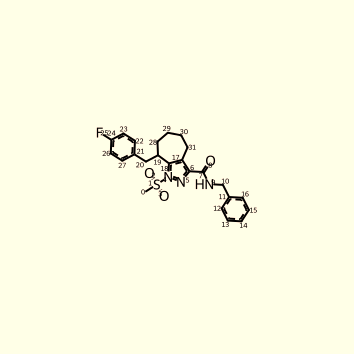 CS(=O)(=O)n1nc(C(=O)NCc2ccccc2)c2c1C(Cc1ccc(F)cc1)CCCC2